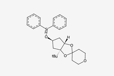 CC(C)(C)[C@]12C[C@@H](O[SiH](c3ccccc3)c3ccccc3)C[C@@H]1OC1(CCOCC1)O2